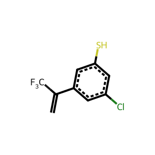 C=C(c1cc(S)cc(Cl)c1)C(F)(F)F